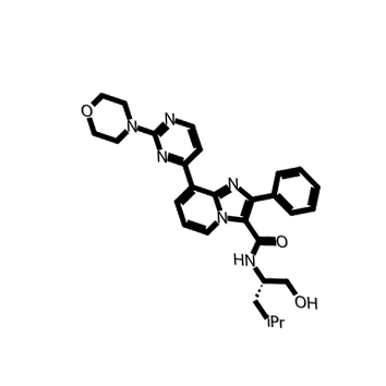 CC(C)C[C@@H](CO)NC(=O)c1c(-c2ccccc2)nc2c(-c3ccnc(N4CCOCC4)n3)cccn12